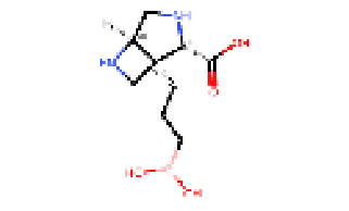 O=C(O)[C@H]1NC[C@@H]2NC[C@@]21CCCB(O)O